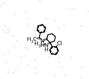 CN[C@@]1(c2ccccc2Cl)CCCC[C@@H]1N[C@@H](C)c1ccccc1